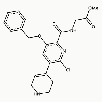 COC(=O)CNC(=O)c1nc(Cl)c(C2=CCNCC2)cc1OCc1ccccc1